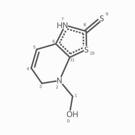 OCN1CC=Cc2[nH]c(=S)sc21